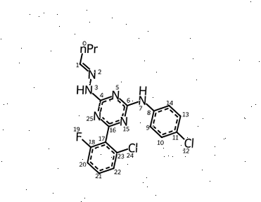 CCC/C=N/Nc1nc(Nc2ccc(Cl)cc2)nc(-c2c(F)cccc2Cl)n1